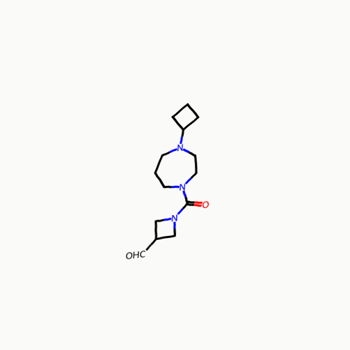 O=CC1CN(C(=O)N2CCCN(C3CCC3)CC2)C1